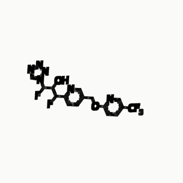 OC(C(F)c1ccc(COc2ccc(C(F)(F)F)cn2)cn1)C(F)n1cnnn1